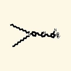 CCCCCCCCCCCCN(CCCCCCCCCCCC)c1ccc(C=Cc2ccc(C=Cc3ccc([N+](=O)[O-])c(C#N)c3)nc2)cc1